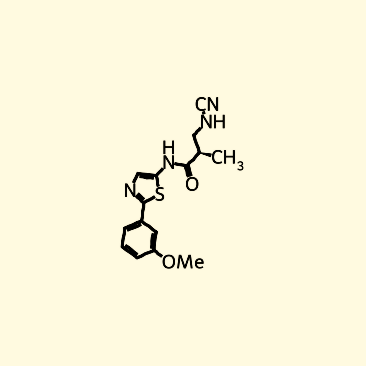 COc1cccc(-c2ncc(NC(=O)[C@H](C)CNC#N)s2)c1